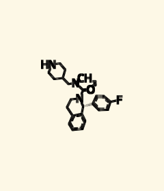 CN(CC1CCNCC1)C(=O)N1CCc2ccccc2[C@H]1c1ccc(F)cc1